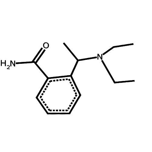 CCN(CC)C(C)c1ccccc1C(N)=O